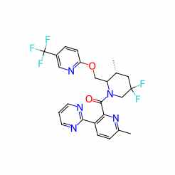 Cc1ccc(-c2ncccn2)c(C(=O)N2CC(F)(F)C[C@@H](C)C2COc2ccc(C(F)(F)F)cn2)n1